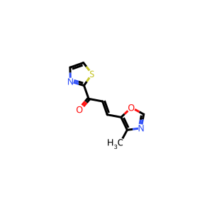 Cc1ncoc1C=CC(=O)c1nccs1